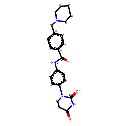 O=C1CCN(c2ccc(NC(=O)c3ccc(CN4CCCCC4)cc3)cc2)C(=O)N1